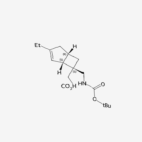 CCC1=C[C@@H]2[C@H](C1)C[C@]2(CNC(=O)OC(C)(C)C)CC(=O)O